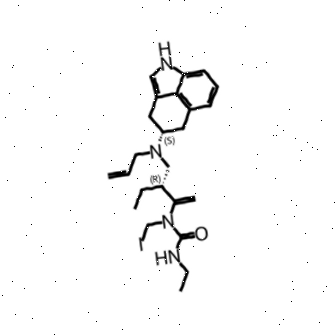 C=CCN(C[C@@H](CC)C(=C)N(CI)C(=O)NCC)[C@H]1Cc2cccc3[nH]cc(c23)C1